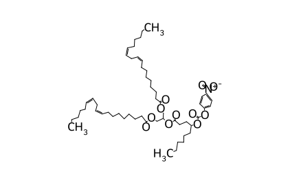 CCCCC/C=C\C/C=C\CCCCCCCC(=O)OCC(COC(=O)CCCCCCC/C=C\C/C=C\CCCCC)OC(=O)CCC(CCCCCC)OC(=O)Oc1ccc([N+](=O)[O-])cc1